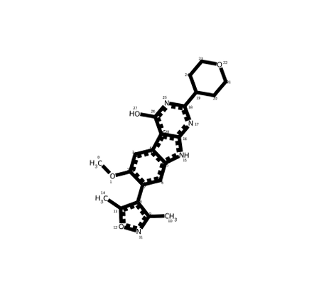 COc1cc2c(cc1-c1c(C)noc1C)[nH]c1nc(C3CCOCC3)nc(O)c12